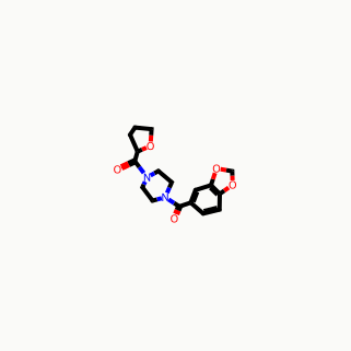 O=C(c1ccc2c(c1)OCO2)N1CCN(C(=O)C2CCCO2)CC1